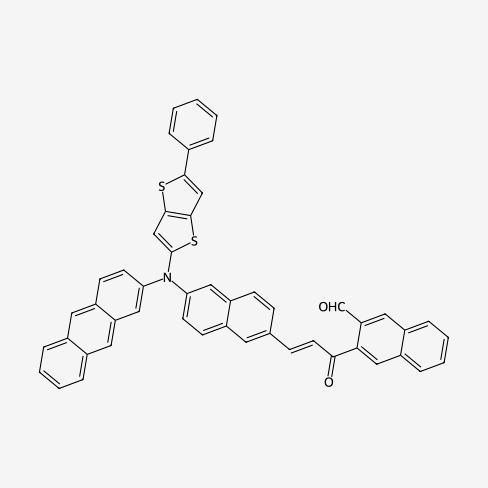 O=Cc1cc2ccccc2cc1C(=O)/C=C/c1ccc2cc(N(c3ccc4cc5ccccc5cc4c3)c3cc4sc(-c5ccccc5)cc4s3)ccc2c1